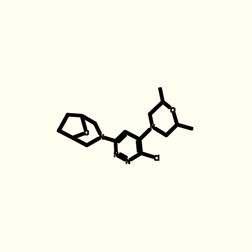 CC1CN(c2cc(N3CC4CCC(C3)O4)nnc2Cl)CC(C)O1